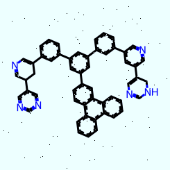 C1=NC=C(c2cncc(-c3cccc(-c4cc(-c5cccc(C6=CN=CC(c7cncnc7)C6)c5)cc(-c5ccc6c7ccccc7c7ccccc7c6c5)c4)c3)c2)CN1